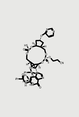 CC(C)C(=O)Nc1nc2c(ncn2[C@@H]2O[C@@H]3CO[P@@](=O)(S)O[C@H]4C[C@H](Oc5ccncn5)C[C@@H]4CO[P@](=S)(OCCC#N)O[C@@H]2[C@@H]3O[Si](O[Si](O)(C(C)C)C(C)C)(C(C)C)C(C)C)c(=O)[nH]1